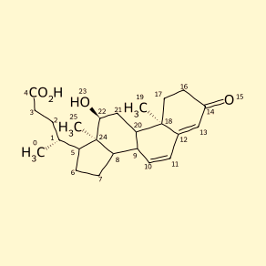 C[C@H](CCC(=O)O)C1CCC2C3C=CC4=CC(=O)CC[C@]4(C)C3C[C@H](O)[C@@]21C